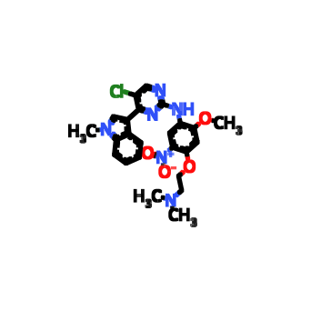 COc1cc(OCCN(C)C)c([N+](=O)[O-])cc1Nc1ncc(Cl)c(-c2cn(C)c3ccccc23)n1